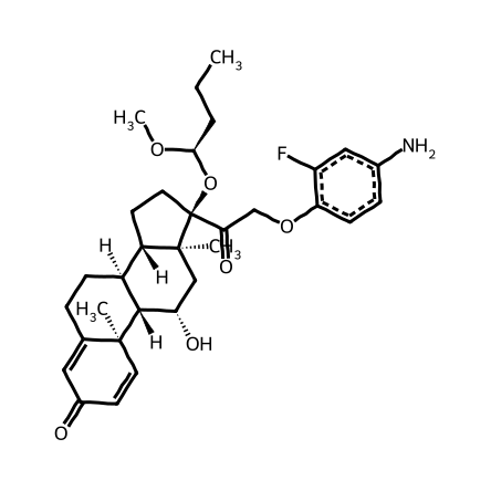 CCC[C@H](OC)O[C@]1(C(=O)COc2ccc(N)cc2F)CC[C@H]2[C@@H]3CCC4=CC(=O)C=C[C@]4(C)[C@H]3[C@@H](O)C[C@@]21C